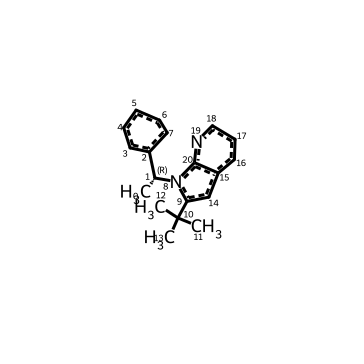 C[C@H](c1ccccc1)n1c(C(C)(C)C)cc2cccnc21